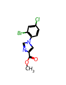 COC(=O)c1cn(-c2ccc(Cl)cc2Br)cn1